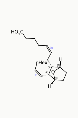 CCCCCC/C=C\[C@@H]1[C@H](C/C=C\CCCC(=O)O)[C@@H]2CC[C@H]1O2